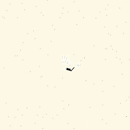 Cl.O=CO.[NaH]